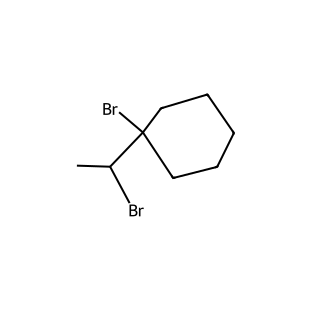 CC(Br)C1(Br)CCCCC1